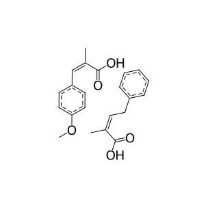 CC(=CCc1ccccc1)C(=O)O.COc1ccc(C=C(C)C(=O)O)cc1